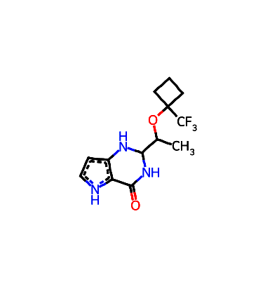 CC(OC1(C(F)(F)F)CCC1)C1NC(=O)c2[nH]ccc2N1